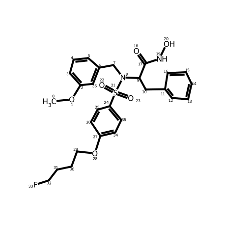 COc1cccc(CN(C(Cc2ccccc2)C(=O)NO)S(=O)(=O)c2ccc(OCCCCF)cc2)c1